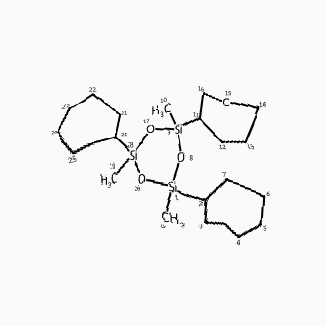 C[Si]1(C2CCCCC2)O[Si](C)(C2CCCCC2)O[Si](C)(C2CCCCC2)O1